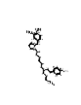 CCCCN(CCCCCCN1CCCC1Cc1ccc(O)c(O)c1)CCc1ccc(O)cc1